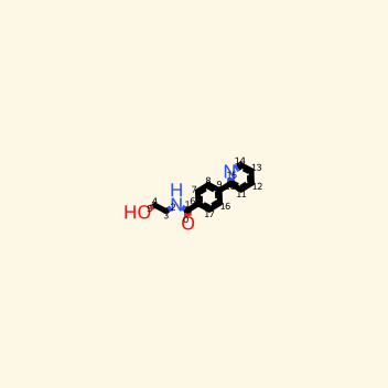 O=C(NCCO)c1ccc(-c2ccccn2)cc1